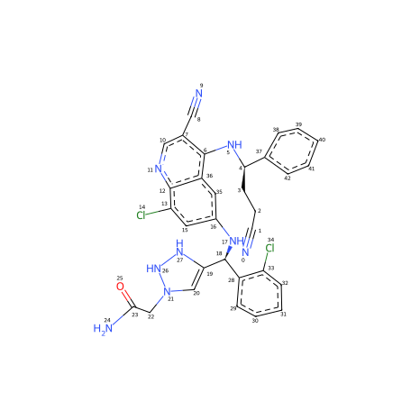 N#CCC[C@@H](Nc1c(C#N)cnc2c(Cl)cc(N[C@H](C3=CN(CC(N)=O)NN3)c3ccccc3Cl)cc12)c1ccccc1